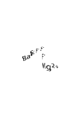 [Ba+2].[F-].[F-].[F-].[F-].[Mg+2]